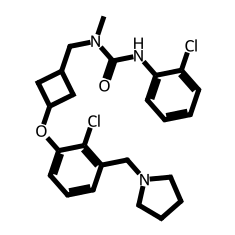 CN(CC1CC(Oc2cccc(CN3CCCC3)c2Cl)C1)C(=O)Nc1ccccc1Cl